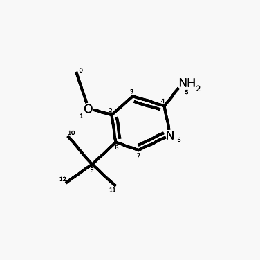 COc1cc(N)ncc1C(C)(C)C